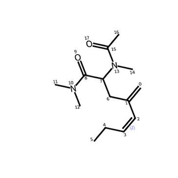 C=C(/C=C\CC)CC(C(=O)N(C)C)N(C)C(C)=O